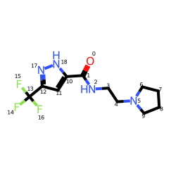 O=C(NCCN1CCCC1)c1cc(C(F)(F)F)n[nH]1